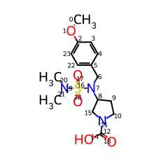 COc1ccc(CN(C2CCN(C(=O)O)C2)S(=O)(=O)N(C)C)cc1